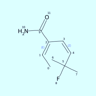 C/C=C(\C=C/C(C)(C)F)C(N)=O